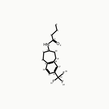 CCCC(=O)NC1CCc2ccc(C(F)(F)F)cc2CC1